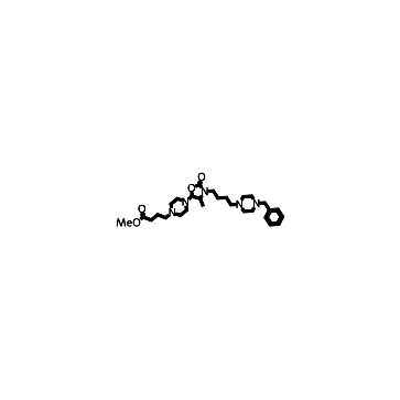 COC(=O)CCCN1CCN(C2OC(=O)N(CCCCN3CCN(Cc4ccccc4)CC3)C2C)CC1